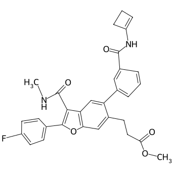 CNC(=O)c1c(-c2ccc(F)cc2)oc2cc(CCC(=O)OC)c(-c3cccc(C(=O)NC4=CCC4)c3)cc12